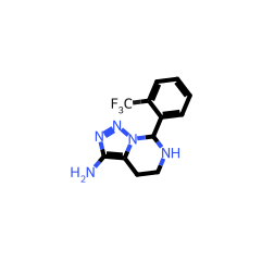 Nc1nnn2c1CCNC2c1ccccc1C(F)(F)F